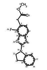 COC(=O)Cc1ccc2nc(N3CCc4ccccc43)oc2c1F